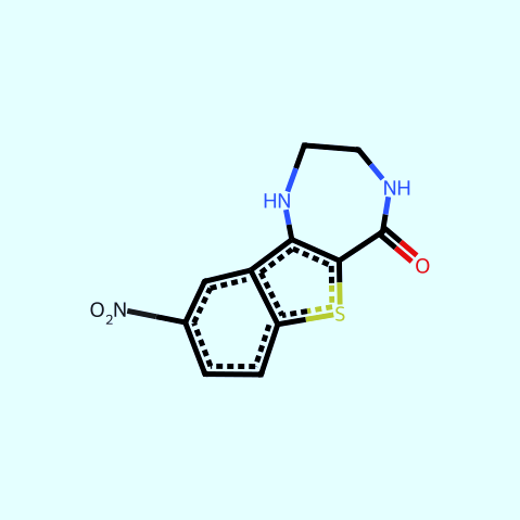 O=C1NCCNc2c1sc1ccc([N+](=O)[O-])cc21